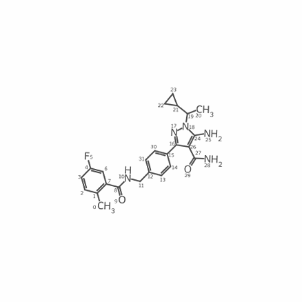 Cc1ccc(F)cc1C(=O)NCc1ccc(-c2nn(C(C)C3CC3)c(N)c2C(N)=O)cc1